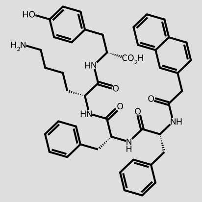 NCCCC[C@@H](NC(=O)[C@@H](Cc1ccccc1)NC(=O)[C@@H](Cc1ccccc1)NC(=O)Cc1ccc2ccccc2c1)C(=O)N[C@H](Cc1ccc(O)cc1)C(=O)O